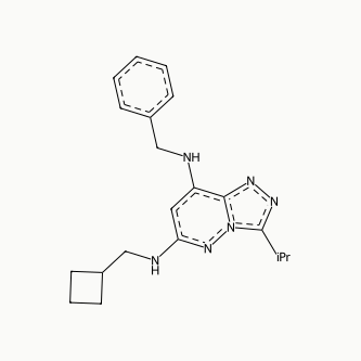 CC(C)c1nnc2c(NCc3ccccc3)cc(NCC3CCC3)nn12